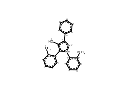 Cc1ccccc1-c1c(O)c(-c2ccccc2)nn1-c1ccccc1C